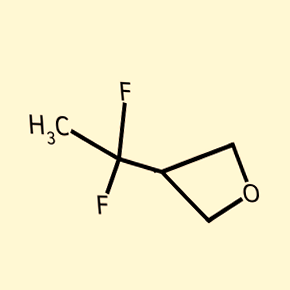 CC(F)(F)[C]1COC1